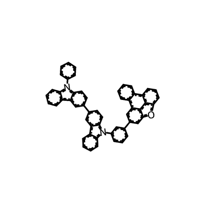 c1ccc(-n2c3ccccc3c3cc(-c4ccc5c(c4)c4ccccc4n5-c4cccc(-c5cc6oc7cccc8c9ccccc9c(c5)c6c78)c4)ccc32)cc1